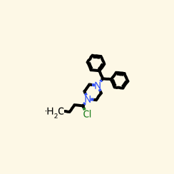 [CH2]CCC(Cl)N1CCN(C(c2ccccc2)c2ccccc2)CC1